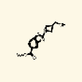 COC(=O)c1ccc2sc(N3CC(CO)C3)nc2c1